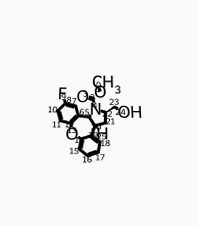 COC(=O)N1C2c3cc(F)ccc3Oc3ccccc3[C@H]2C[C@@H]1CO